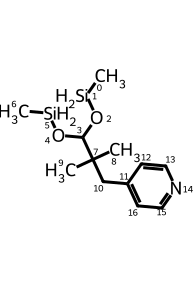 C[SiH2]OC(O[SiH2]C)C(C)(C)Cc1ccncc1